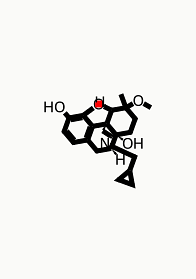 COC1(C)CC[C@@]2(O)[C@H]3Cc4ccc(O)c5c4[C@@]2(CCN3CC2CC2)[C@H]1O5